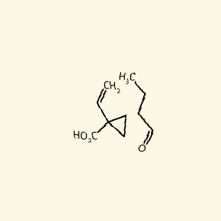 C=CC1(C(=O)O)CC1.CCCC=O